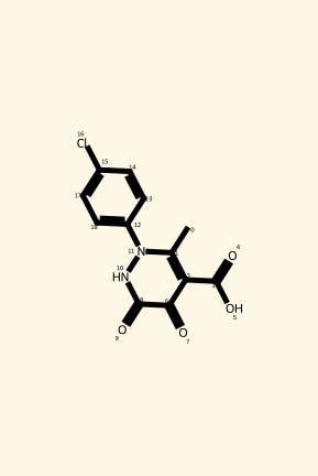 Cc1c(C(=O)O)c(=O)c(=O)[nH]n1-c1ccc(Cl)cc1